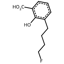 O=C(O)c1cccc(CCCCF)c1O